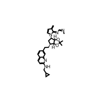 C=C1C=CN([C@@H]2C[C@H](CCc3ccc4ccc(NCC5CC5)nc4c3)[C@H]3OC(C)(C)O[C@H]32)/C1=N/C=N\C